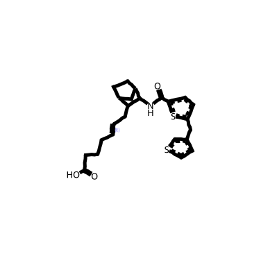 O=C(O)CCC/C=C/CC1C2CCC(C2)C1NC(=O)c1ccc(Cc2ccsc2)s1